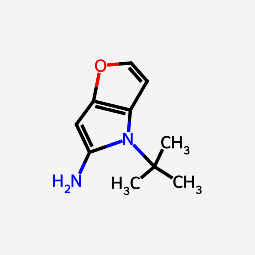 CC(C)(C)n1c(N)cc2occc21